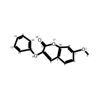 COc1ccc2cc(Oc3ccccc3)c(=O)oc2c1